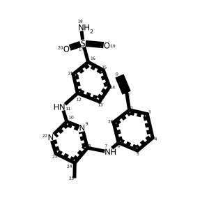 C#Cc1cccc(Nc2nc(Nc3cccc(S(N)(=O)=O)c3)ncc2C)c1